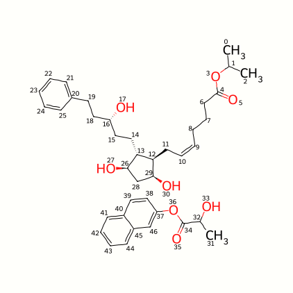 CC(C)OC(=O)CCC/C=C\C[C@@H]1[C@@H](CC[C@@H](O)CCc2ccccc2)[C@H](O)C[C@@H]1O.CC(O)C(=O)Oc1ccc2ccccc2c1